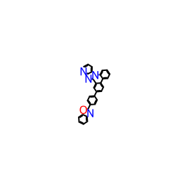 c1ccc2oc(-c3ccc(-c4ccc5c6ccccc6n6c7cccnc7nc6c5c4)cc3)nc2c1